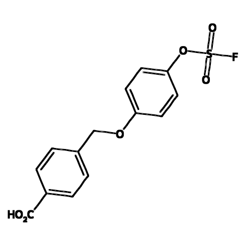 O=C(O)c1ccc(COc2ccc(OS(=O)(=O)F)cc2)cc1